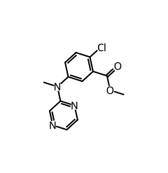 COC(=O)c1cc(N(C)c2cnccn2)ccc1Cl